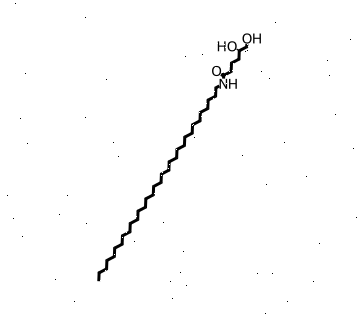 CCCCCCCCCCCCCCCCCCCCCCCCCCCCCCCCNC(=O)CCC[C@H](O)CO